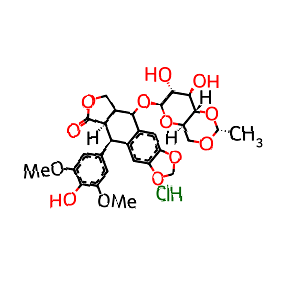 COc1cc([C@@H]2c3cc4c(cc3C(O[C@@H]3O[C@@H]5CO[C@@H](C)O[C@H]5[C@H](O)[C@H]3O)C3COC(=O)[C@@H]32)OCO4)cc(OC)c1O.Cl